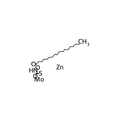 CCCCCCCCCCCCCCCCCC(=O)ONC(=S)[O][Mo].[Zn]